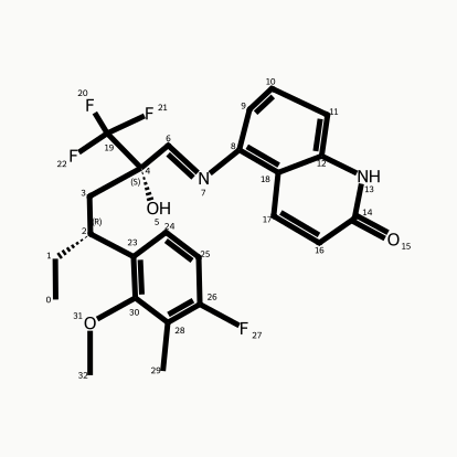 CC[C@H](C[C@](O)(C=Nc1cccc2[nH]c(=O)ccc12)C(F)(F)F)c1ccc(F)c(C)c1OC